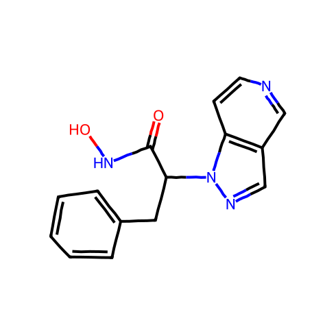 O=C(NO)C(Cc1ccccc1)n1ncc2cnccc21